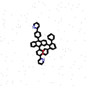 c1ccc(-c2cccc(-c3ccccc3)c2-c2ccc3c(-c4ccc(-c5ccccn5)cc4)c4ccccc4c(-c4ccc(-c5ccccn5)cc4)c3c2)cc1